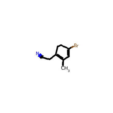 CC1=C(CC#N)CCC(Br)=C1